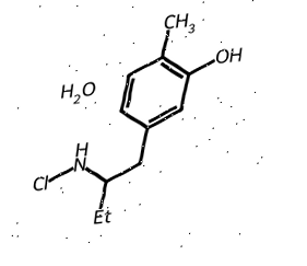 CCC(Cc1ccc(C)c(O)c1)NCl.O